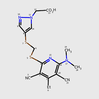 CCc1c(C#N)c(SCSc2cnn(CC(=O)O)c2)nc(N(C)C)c1C#N